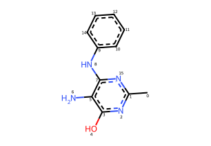 Cc1nc(O)c(N)c(Nc2ccccc2)n1